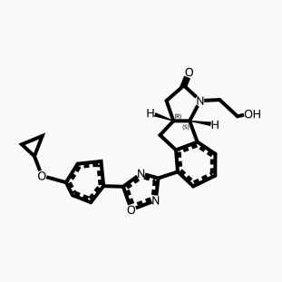 O=C1C[C@H]2Cc3c(-c4noc(-c5ccc(OC6CC6)cc5)n4)cccc3[C@H]2N1CCO